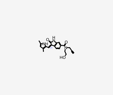 C#CCN(CCO)C(=O)c1ccc2c(c1)NC(=O)/C2=C\c1[nH]c(C)cc1C